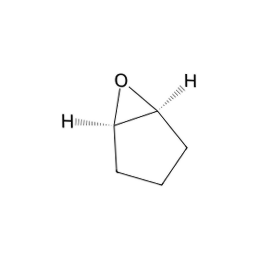 C1C[C@@H]2O[C@@H]2C1